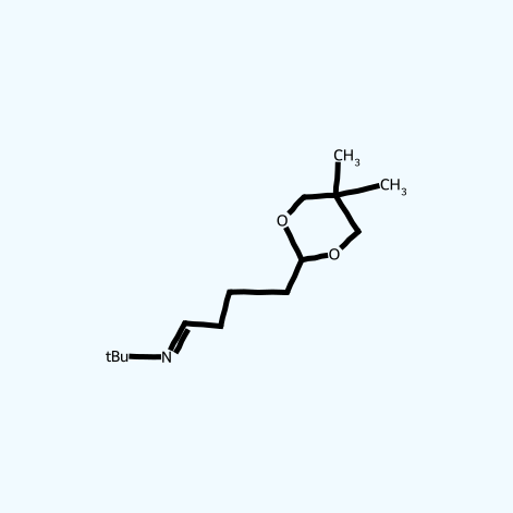 CC1(C)COC(CCCC=NC(C)(C)C)OC1